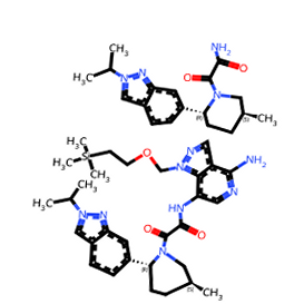 CC(C)n1cc2ccc([C@H]3CC[C@H](C)CN3C(=O)C(=O)Nc3cnc(N)c4cnn(COCC[Si](C)(C)C)c34)cc2n1.CC(C)n1cc2ccc([C@H]3CC[C@H](C)CN3C(=O)C(N)=O)cc2n1